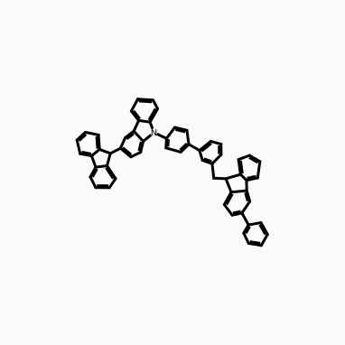 c1ccc(-c2ccc3c(c2)-c2ccccc2C3Cc2cccc(-c3ccc(-n4c5ccccc5c5cc(C6c7ccccc7-c7ccccc76)ccc54)cc3)c2)cc1